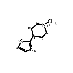 CN1CCC(c2nccs2)CC1